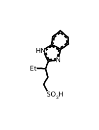 CCC(CCS(=O)(=O)O)c1nc2ccccc2[nH]1